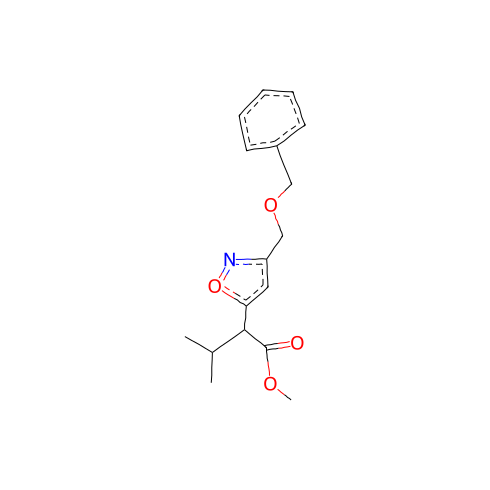 COC(=O)C(c1cc(COCc2ccccc2)no1)C(C)C